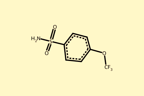 NS(=O)(=O)c1ccc(OC(F)(F)F)cc1